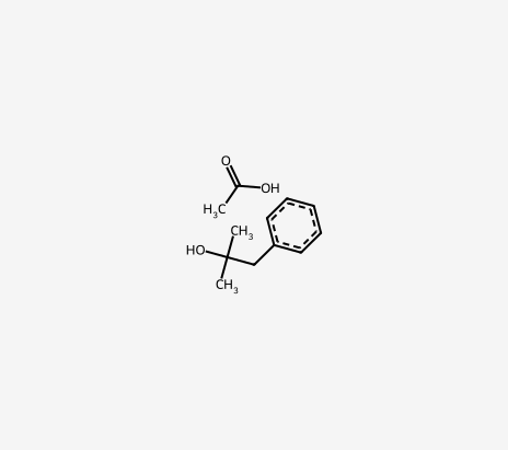 CC(=O)O.CC(C)(O)Cc1ccccc1